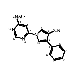 CNc1cc(-n2cc(C#N)c(-c3ccccc3)c2)ncn1